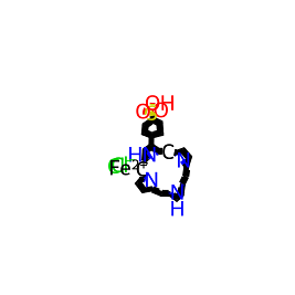 O=S(=O)(O)c1ccc(-c2cc3cc4nc(cc5ccc(cc6nc(cc2[nH]3)C=C6)[nH]5)C=C4)cc1.[Cl-].[Cl-].[Fe+2]